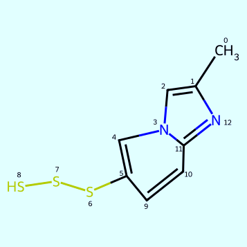 Cc1cn2cc(SSS)ccc2n1